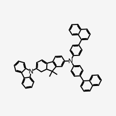 CC1(C)c2cc(N(c3ccc(-c4cccc5ccccc45)cc3)c3ccc(-c4cccc5ccccc45)cc3)ccc2C2=CC=C(n3c4ccccc4c4ccccc43)CC21